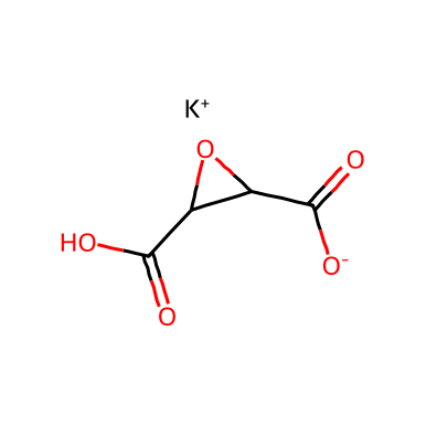 O=C([O-])C1OC1C(=O)O.[K+]